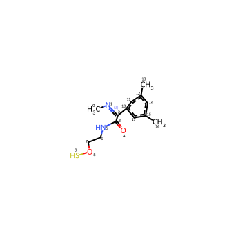 C/N=C(\C(=O)NCCOS)c1cc(C)cc(C)c1